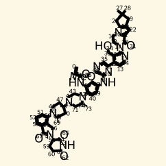 C=CC(=O)Nc1cc(Nc2nc(-c3ccnc(N4CCn5c(cc6c5CC(C)(C)C6)C4=O)c3CO)cnc2OC)ccc1N1CCN(C2CCN(c3cccc4c3CN(C3CCC(=O)NC3=O)C4=O)[C@H](C)C2)C[C@@H]1C